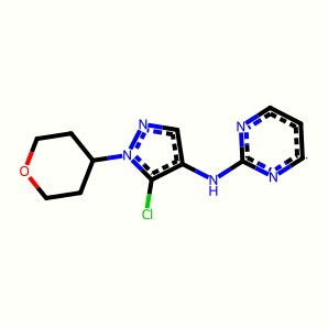 Clc1c(Nc2n[c]ccn2)cnn1C1CCOCC1